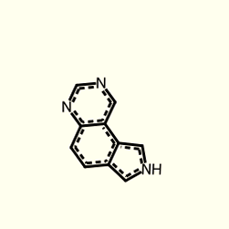 c1ncc2c(ccc3c[nH]cc32)n1